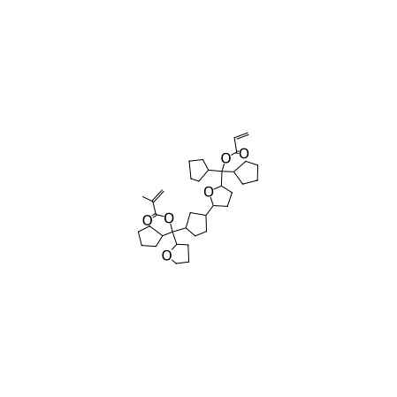 C=CC(=O)OC(C1CCCC1)(C1CCCC1)C1CCC(C2CCC(C(OC(=O)C(=C)C)(C3CCCC3)C3CCCO3)C2)O1